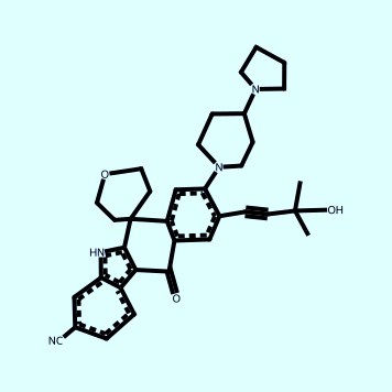 CC(C)(O)C#Cc1cc2c(cc1N1CCC(N3CCCC3)CC1)C1(CCOCC1)c1[nH]c3cc(C#N)ccc3c1C2=O